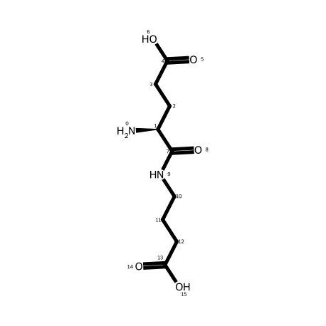 N[C@@H](CCC(=O)O)C(=O)NCCCC(=O)O